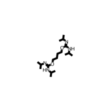 CC(C)N=C(NC(C)C)OCCCCOC(=NC(C)C)NC(C)C